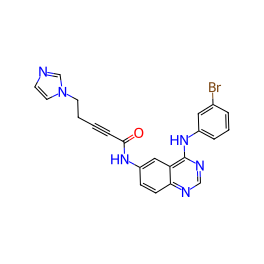 O=C(C#CCCn1ccnc1)Nc1ccc2ncnc(Nc3cccc(Br)c3)c2c1